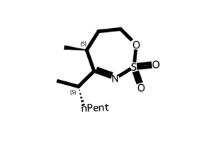 CCCCC[C@H](C)C1=NS(=O)(=O)OCC[C@@H]1C